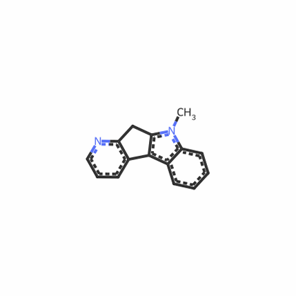 Cn1c2c(c3ccccc31)-c1cccnc1C2